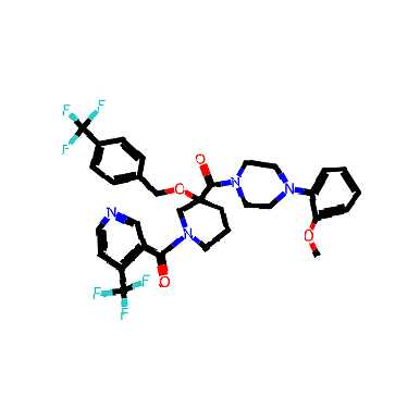 COc1ccccc1N1CCN(C(=O)C2(OCc3ccc(C(F)(F)F)cc3)CCCN(C(=O)c3cnccc3C(F)(F)F)C2)CC1